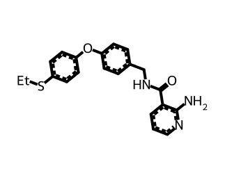 CCSc1ccc(Oc2ccc(CNC(=O)c3cccnc3N)cc2)cc1